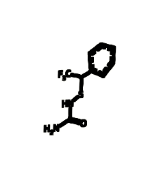 NC(=O)NSC(c1ccccc1)C(F)(F)F